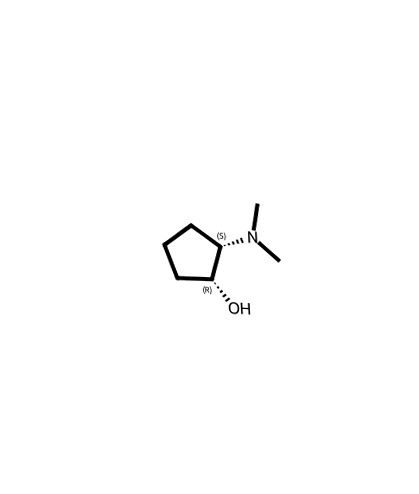 CN(C)[C@H]1CCC[C@H]1O